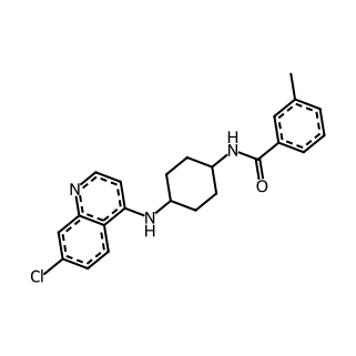 Cc1cccc(C(=O)NC2CCC(Nc3ccnc4cc(Cl)ccc34)CC2)c1